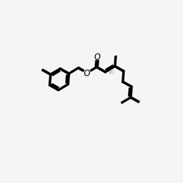 CC(C)=CCC/C(C)=C/C(=O)OCc1cccc(C)c1